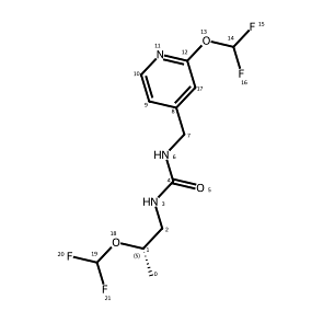 C[C@@H](CNC(=O)NCc1ccnc(OC(F)F)c1)OC(F)F